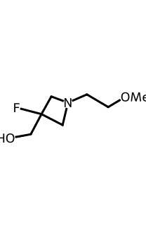 COCCN1CC(F)(CO)C1